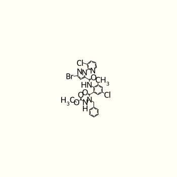 COC(=O)NN(Cc1ccccc1)C(=O)c1cc(Cl)cc(C)c1NC(=O)c1cc(Br)nn1-c1ncccc1Cl